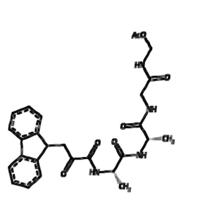 CC(=O)OCNC(=O)CNC(=O)[C@H](C)NC(=O)[C@H](C)NC(=O)C(=O)CC1c2ccccc2-c2ccccc21